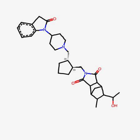 CC(O)C1C(C)C2CC1C1C(=O)N(C[C@H]3CCC[C@@H]3CN3CCC(N4C(=O)Cc5ccccc54)CC3)C(=O)C21